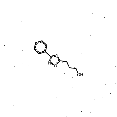 OCCCc1nc(-c2ccccc2)no1